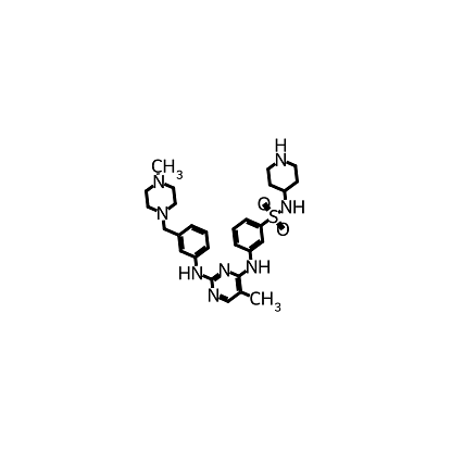 Cc1cnc(Nc2cccc(CN3CCN(C)CC3)c2)nc1Nc1cccc(S(=O)(=O)NC2CCNCC2)c1